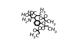 CCC(=O)Oc1ccc(C(C(C)C(C)OC(=O)CC)[C@H](N)C(=O)O)cc1OC(=O)CC